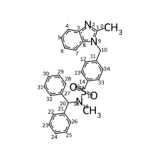 Cc1nc2ccccc2n1Cc1ccc(S(=O)(=O)N(C)C(c2ccccc2)c2ccccc2)cc1